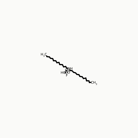 CCCCCCCCCCCCCCNCCCCCCCCCCCCCC.O=P(O)(O)F